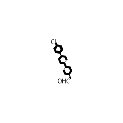 O=CC[C@H]1CC[C@H]([C@H]2CC[C@H](c3ccc(Cl)cc3)CC2)CC1